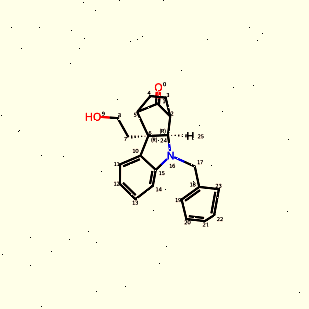 O=C1C2CCC1[C@]1(CCO)c3ccccc3N(Cc3ccccc3)[C@H]21